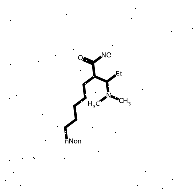 CCCCCCCCCCCCCCC(C(=O)N=O)C(CC)N(C)C